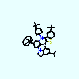 CC(C)c1cc2c3c(c1)B1c4sc5ccc(C(C)(C)C)cc5c4N(c4ccc(C(C)(C)C)cc4)c4cc(C56CC7CC(CC(C7)C5)C6)cc(c41)N3CC2